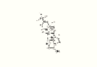 CC(=O)[C@H]1CC[C@H]2[C@@H]3CC[C@@H]4CC(C(F)(F)F)CC[C@]4(C)[C@H]3CC[C@]12C